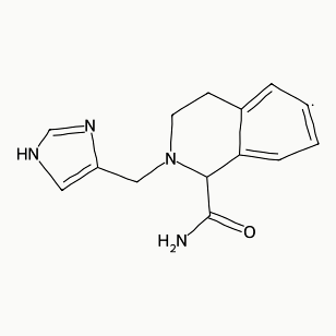 NC(=O)C1c2cc[c]cc2CCN1Cc1c[nH]cn1